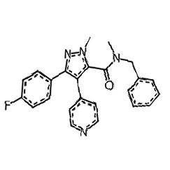 CN(Cc1ccccc1)C(=O)c1c(-c2ccncc2)c(-c2ccc(F)cc2)nn1C